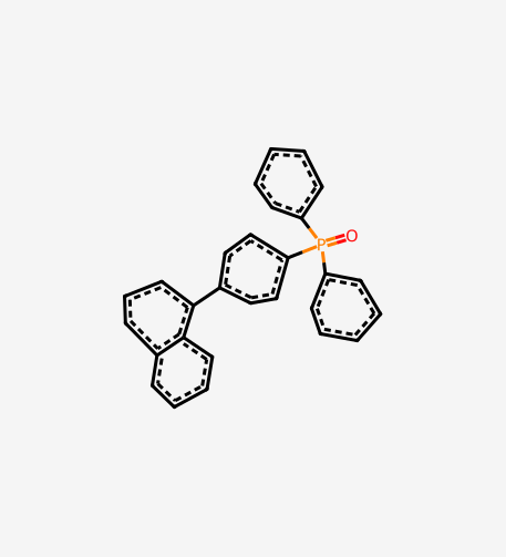 O=P(c1ccccc1)(c1ccccc1)c1ccc(-c2cccc3ccccc23)cc1